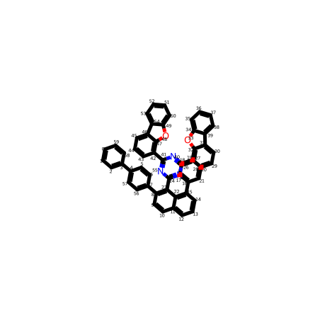 c1ccc(-c2ccc(-c3ccc4cccc(-c5ccccc5)c4c3-c3nc(-c4cccc5c4oc4ccccc45)nc(-c4cccc5c4oc4ccccc45)n3)cc2)cc1